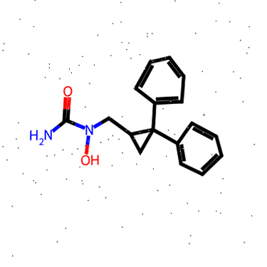 NC(=O)N(O)CC1CC1(c1ccccc1)c1ccccc1